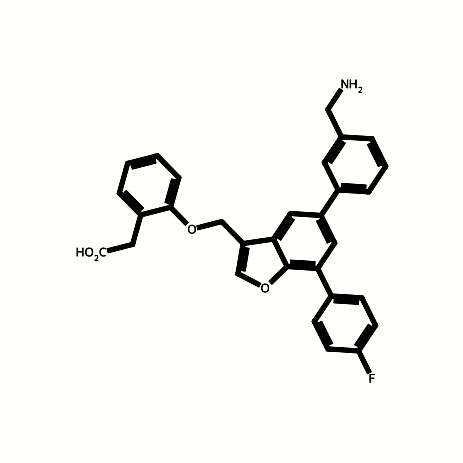 NCc1cccc(-c2cc(-c3ccc(F)cc3)c3occ(COc4ccccc4CC(=O)O)c3c2)c1